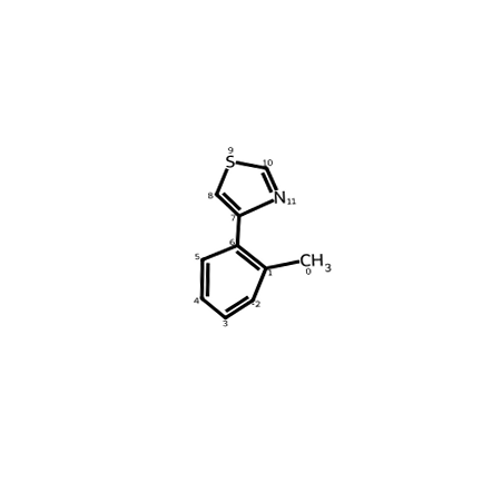 Cc1[c]cccc1-c1cscn1